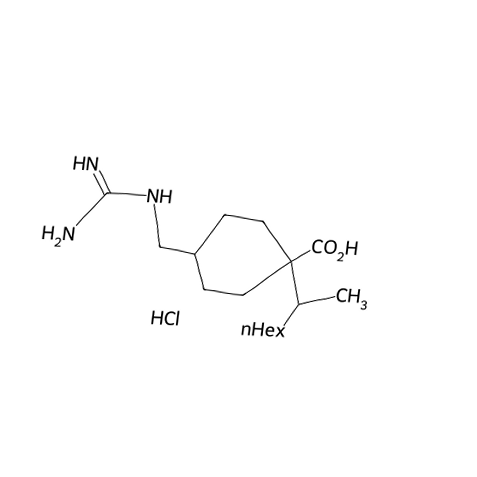 CCCCCCC(C)C1(C(=O)O)CCC(CNC(=N)N)CC1.Cl